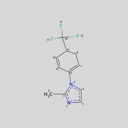 Cc1nccn1C1=CCC(C(F)(F)F)C=C1